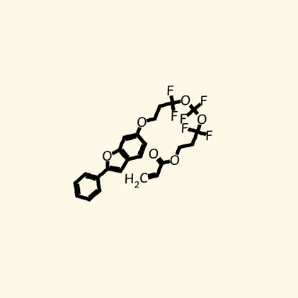 C=CC(=O)OCCC(F)(F)OC(F)(F)OC(F)(F)CCOc1ccc2cc(-c3ccccc3)oc2c1